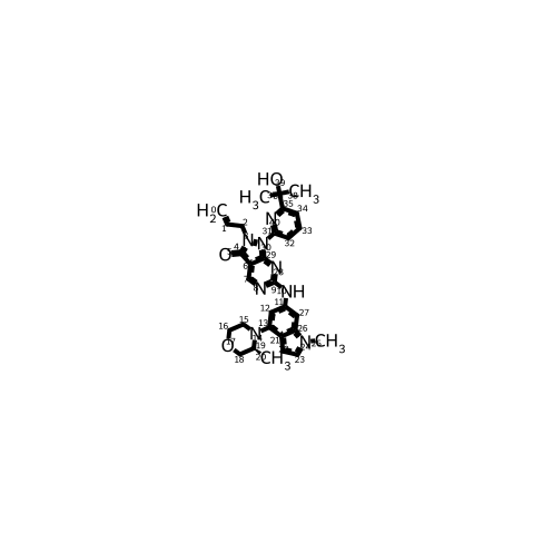 C=CCn1c(=O)c2cnc(Nc3cc(N4CCOC[C@@H]4C)c4ccn(C)c4c3)nc2n1-c1cccc(C(C)(C)O)n1